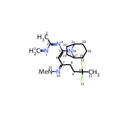 C=N\C(C)=N/C(=C/C(CCC(C)(F)F)=N\NC)N1C2CCCC1CC2